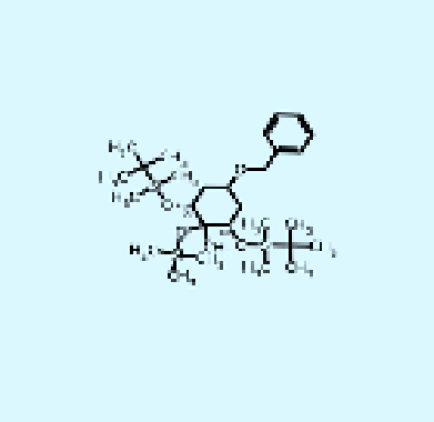 CC1(O[Si](C)(C)C)[C@H](O[Si](C)(C)C(C)(C)C)CC(OCc2ccccc2)C[C@H]1O[Si](C)(C)C(C)(C)C